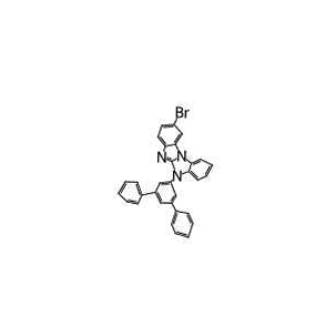 Brc1ccc2nc3n(-c4cc(-c5ccccc5)cc(-c5ccccc5)c4)c4ccccc4n3c2c1